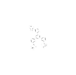 CC1(C)CN=C(c2cccc(-c3cc(-c4cccc(C5=NCC(C)(C)O5)c4)cc(-c4cccc(C5=NCC(C)(C)O5)c4)c3)c2)O1